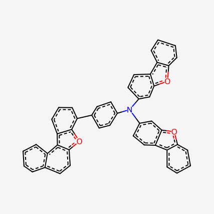 c1ccc2c(c1)ccc1oc3c(-c4ccc(N(c5ccc6c(c5)oc5ccccc56)c5ccc6c(c5)oc5ccccc56)cc4)cccc3c12